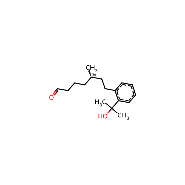 C[C@H](CCCC=O)CCc1ccccc1C(C)(C)O